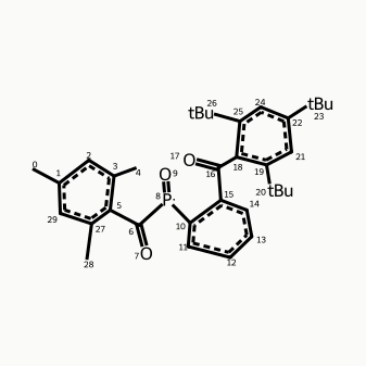 Cc1cc(C)c(C(=O)[P](=O)c2ccccc2C(=O)c2c(C(C)(C)C)cc(C(C)(C)C)cc2C(C)(C)C)c(C)c1